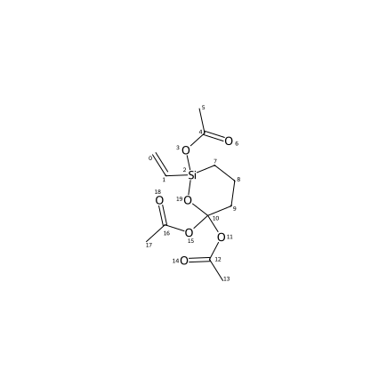 C=C[Si]1(OC(C)=O)CCCC(OC(C)=O)(OC(C)=O)O1